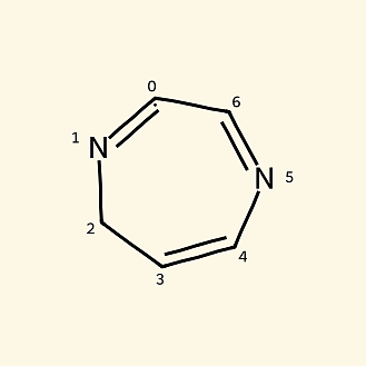 [C]1=NCC=CN=C1